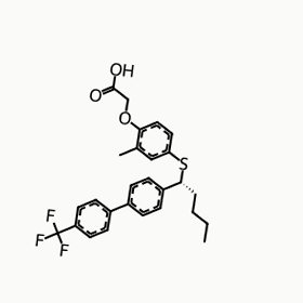 CCCC[C@@H](Sc1ccc(OCC(=O)O)c(C)c1)c1ccc(-c2ccc(C(F)(F)F)cc2)cc1